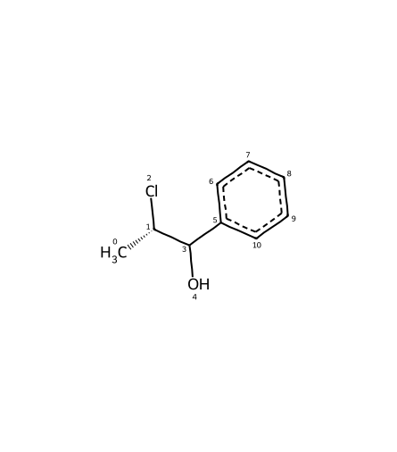 C[C@H](Cl)C(O)c1ccccc1